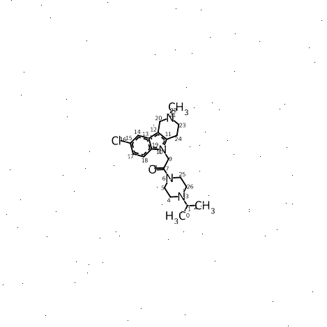 CC(C)N1CCN(C(=O)Cn2c3c(c4cc(Cl)ccc42)CN(C)CC3)CC1